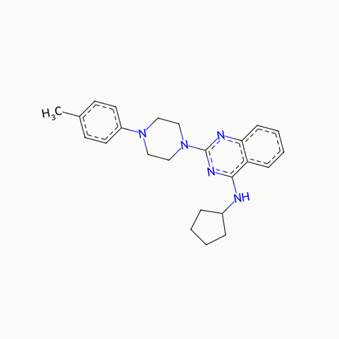 Cc1ccc(N2CCN(c3nc(NC4CCCC4)c4ccccc4n3)CC2)cc1